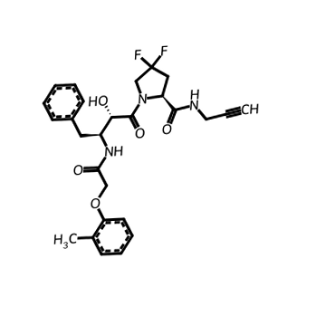 C#CCNC(=O)[C@@H]1CC(F)(F)CN1C(=O)[C@@H](O)[C@H](Cc1ccccc1)NC(=O)COc1ccccc1C